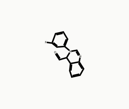 O=CC1c2ccccc2N=CN1c1cccc(F)c1